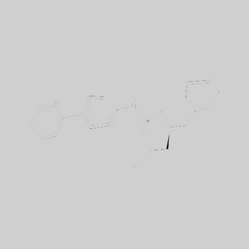 O=CCC[C@H](Cc1ccccc1)NC(=O)Nc1ccc(-c2ccccc2)cc1